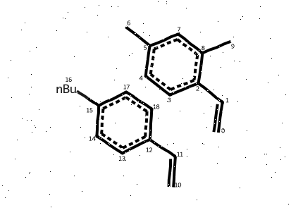 C=Cc1ccc(C)cc1C.C=Cc1ccc(CCCC)cc1